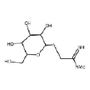 CNC(=N)CSC1OC(CO)C(O)C(O)C1O